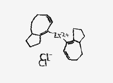 C1=C[C]([Zr+2][C]2=C3CCCC3CCC=C2)=C2CCCC2CC1.[Cl-].[Cl-]